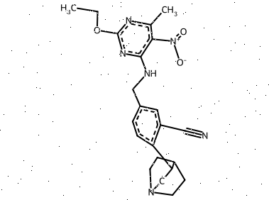 CCOc1nc(C)c([N+](=O)[O-])c(NCc2ccc(C3CN4CCC3CC4)c(C#N)c2)n1